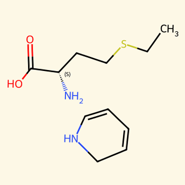 C1=CCNC=C1.CCSCC[C@H](N)C(=O)O